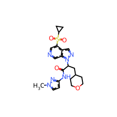 Cn1ccc(NC(=O)C(CC2CCOCC2)n2ncc3c(S(=O)(=O)C4CC4)cncc32)n1